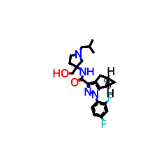 CC(C)CN1CCC(CO)(NC(=O)c2nn(-c3ccc(F)cc3F)c3c2C[C@@H]2C[C@H]32)C1